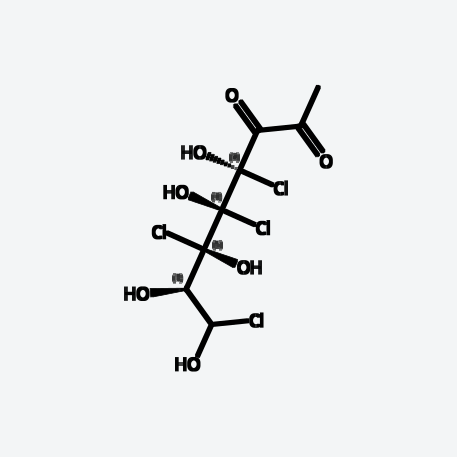 CC(=O)C(=O)[C@@](O)(Cl)[C@](O)(Cl)[C@@](O)(Cl)[C@H](O)C(O)Cl